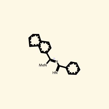 CN/C(=N\C(=N)c1ccccc1)c1ccc2ccccc2c1